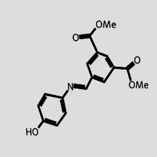 COC(=O)c1cc(C=Nc2ccc(O)cc2)cc(C(=O)OC)c1